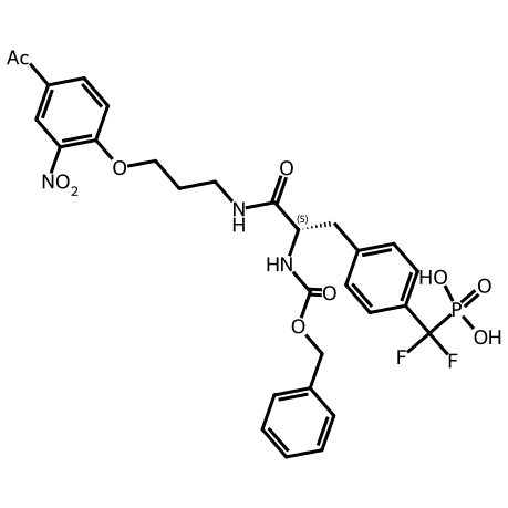 CC(=O)c1ccc(OCCCNC(=O)[C@H](Cc2ccc(C(F)(F)P(=O)(O)O)cc2)NC(=O)OCc2ccccc2)c([N+](=O)[O-])c1